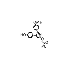 COc1ccc(-n2nc(OCC(=O)N(C)C)cc2-c2ccc(O)cc2)cc1